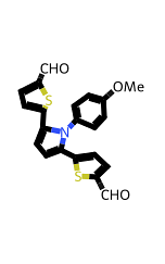 COc1ccc(-n2c(-c3ccc(C=O)s3)ccc2-c2ccc(C=O)s2)cc1